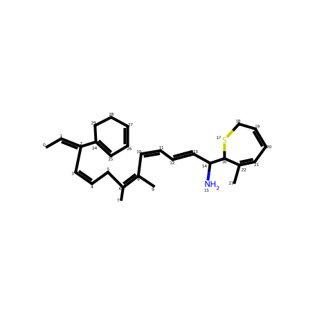 C/C=C(\C=C/C/C(C)=C(C)\C=C/C=CC(N)C1SCC=CC=C1C)C1=CC=CCC1